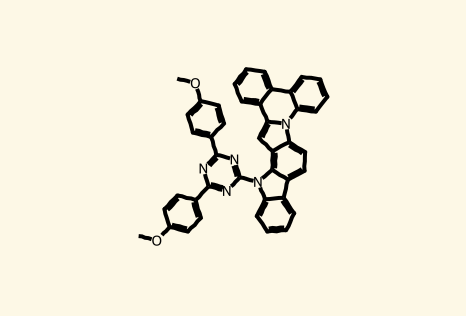 COc1ccc(-c2nc(-c3ccc(OC)cc3)nc(-n3c4ccccc4c4ccc5c(cc6c7ccccc7c7ccccc7n65)c43)n2)cc1